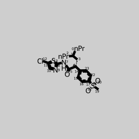 CCCC(CCC)C[C@@H](C(=O)Nc1ncc(Cl)s1)c1ccc(S(C)(=O)=O)cc1